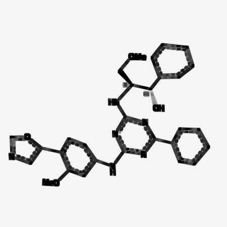 COC[C@H](Nc1nc(Nc2ccc(-c3cnco3)c(OC)c2)nc(-c2ccccc2)n1)[C@@H](O)c1ccccc1